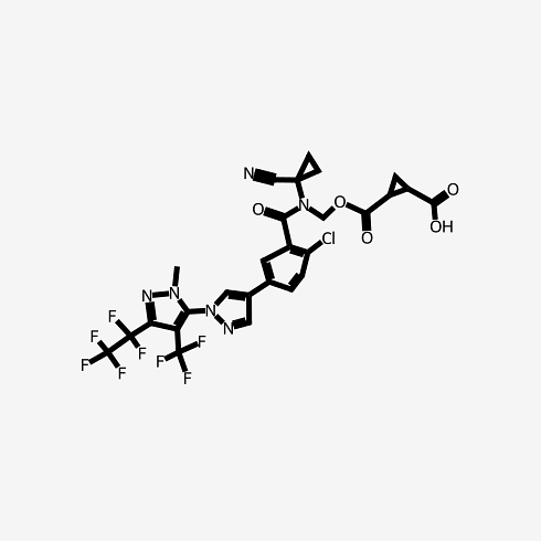 Cn1nc(C(F)(F)C(F)(F)F)c(C(F)(F)F)c1-n1cc(-c2ccc(Cl)c(C(=O)N(COC(=O)C3CC3C(=O)O)C3(C#N)CC3)c2)cn1